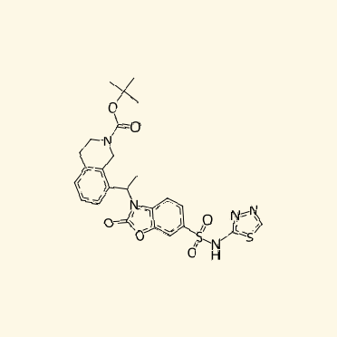 CC(c1cccc2c1CN(C(=O)OC(C)(C)C)CC2)n1c(=O)oc2cc(S(=O)(=O)Nc3nncs3)ccc21